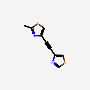 Cc1nc(C#Cc2cscn2)cs1